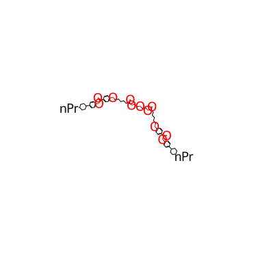 CCCC1CCC(c2ccc(OC(=O)c3ccc(OCCCCCC(=O)OCCOCCOC(=O)CCCCCOc4ccc(C(=O)Oc5ccc(C6CCC(CCC)CC6)cc5)cc4)cc3)cc2)CC1